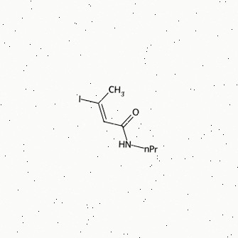 CCCNC(=O)/C=C(\C)I